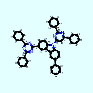 c1ccc(-c2ccc3c(c2)c2cc(-c4nc(-c5ccccc5)nc(-c5ccccc5)n4)ccc2n3-c2cc(-c3ccccc3)nc(-c3ccccc3)n2)cc1